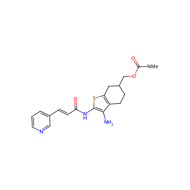 CNC(=O)OCC1CCc2c(sc(NC(=O)/C=C/c3cccnc3)c2N)C1